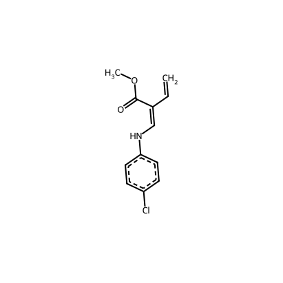 C=CC(=CNc1ccc(Cl)cc1)C(=O)OC